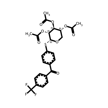 CC(=O)O[C@@H]1[C@@H](OC(C)=O)[C@H](OC(C)=O)CO[C@@H]1Sc1ccc(C(=O)c2ccc(C(F)(F)F)cc2)cc1